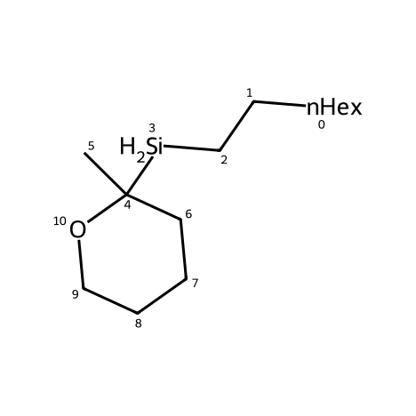 CCCCCCCC[SiH2]C1(C)CCCCO1